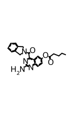 CCCCC(=O)Oc1ccc2nc(N)nc(C(=O)N3Cc4ccccc4C3)c2c1